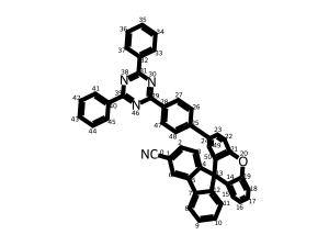 N#Cc1ccc2c(c1)-c1ccccc1C21c2ccccc2Oc2ccc(-c3ccc(-c4nc(-c5ccccc5)nc(-c5ccccc5)n4)cc3)cc21